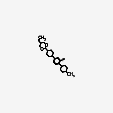 C=CC1COC(C2CCC(c3ccc(C4CCC(C)CC4)c(F)c3)CC2)OC1